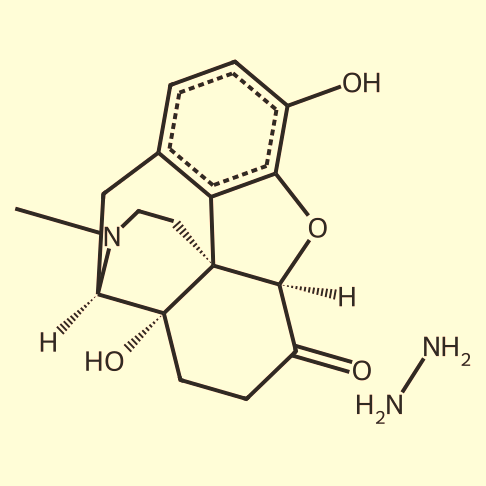 CN1CC[C@]23c4c5ccc(O)c4O[C@H]2C(=O)CC[C@@]3(O)[C@H]1C5.NN